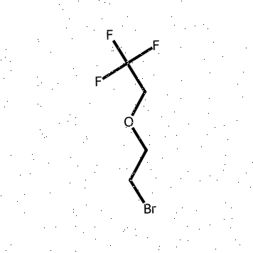 FC(F)(F)COCCBr